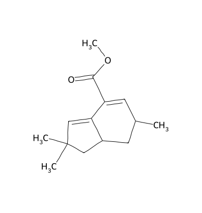 COC(=O)C1=CC(C)CC2CC(C)(C)C=C12